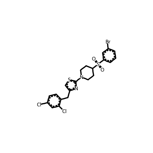 O=S(=O)(c1cccc(Br)c1)C1CCN(c2nc(Cc3ccc(Cl)cc3Cl)cs2)CC1